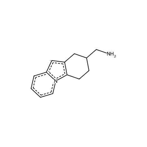 NCC1CCc2c([c]c3ccccn23)C1